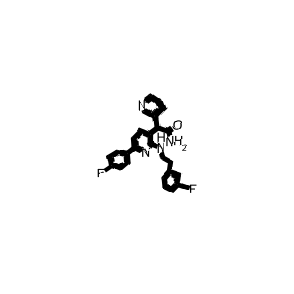 NC(=O)C(c1cccnc1)c1ccc(-c2ccc(F)cc2)nc1NCCc1cccc(F)c1